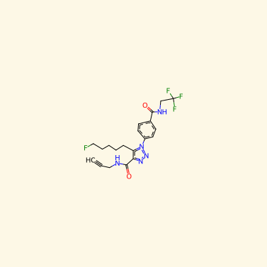 C#CCNC(=O)c1nnn(-c2ccc(C(=O)NCC(F)(F)F)cc2)c1CCCCCF